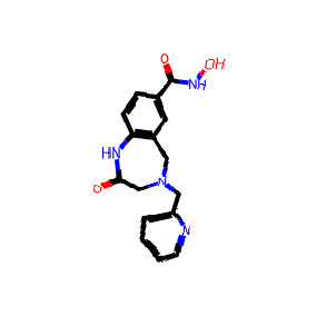 O=C1CN(Cc2ccccn2)Cc2cc(C(=O)NO)ccc2N1